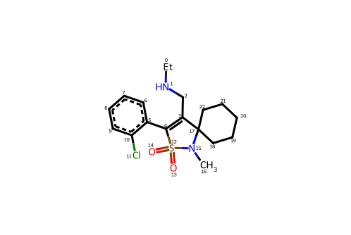 CCNCC1=C(c2ccccc2Cl)S(=O)(=O)N(C)C12CCCCC2